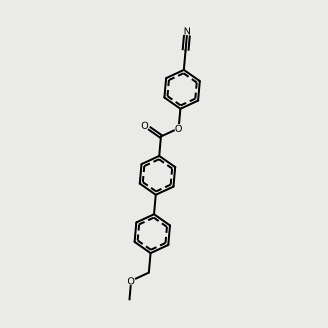 COCc1ccc(-c2ccc(C(=O)Oc3ccc(C#N)cc3)cc2)cc1